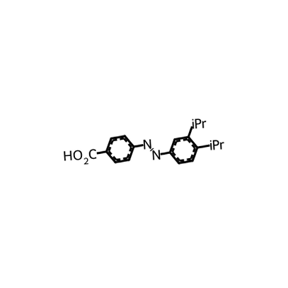 CC(C)c1ccc(/N=N/c2ccc(C(=O)O)cc2)cc1C(C)C